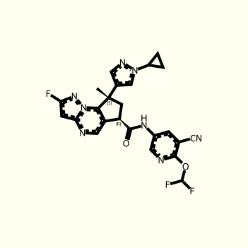 C[C@@]1(c2cnn(C3CC3)c2)C[C@@H](C(=O)Nc2cnc(OC(F)F)c(C#N)c2)c2cnc3cc(F)nn3c21